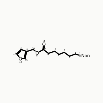 CCCCCCCCCCCCCCCC(=O)OCc1ccoc1